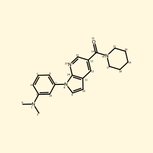 CN(C)c1cccc(-n2ccc3cc(C(=O)N4CCCCC4)cnc32)c1